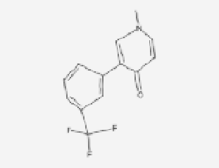 Cn1ccc(=O)c(-c2cccc(C(F)(F)F)c2)c1